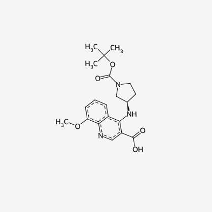 COc1cccc2c(N[C@@H]3CCN(C(=O)OC(C)(C)C)C3)c(C(=O)O)cnc12